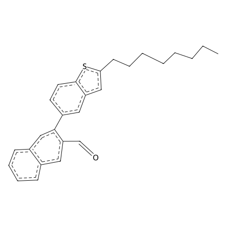 CCCCCCCCc1cc2cc(-c3cc4ccccc4cc3C=O)ccc2s1